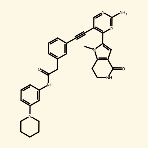 Cn1c(-c2nc(N)ncc2C#Cc2cccc(CC(=O)Nc3cccc(N4CCCCC4)c3)c2)cc2c1CCNC2=O